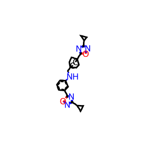 c1cc(NCC23CCC(c4nc(C5CC5)no4)(CC2)CC3)cc(-c2nc(C3CC3)no2)c1